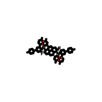 Cc1ccc(-c2cc(F)c(N(c3ccc(C)cc3C)c3ccc4ccc5c(N(c6ccc(C)cc6C)c6c(F)cc(-c7ccc(C)cc7)cc6-c6ccc(C)cc6)ccc6ccc3c4c65)c(-c3ccc(C)cc3)c2)cc1